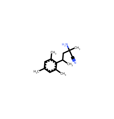 Cc1cc(C)c(C(C)CC(C)(N)C#N)c(C)c1